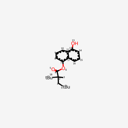 CC(C)(C)CC(C)(C(=O)Oc1cccc2c(O)cccc12)C(C)(C)C